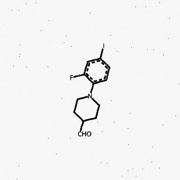 O=CC1CCN(c2ccc(I)cc2F)CC1